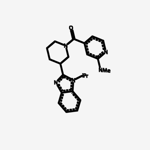 CNc1cc(C(=O)N2CCCC(c3nc4ccccc4n3C(C)C)C2)ccn1